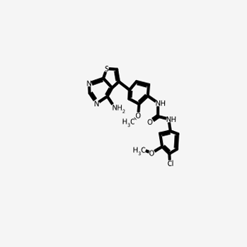 COc1cc(NC(=O)Nc2ccc(-c3csc4ncnc(N)c34)cc2OC)ccc1Cl